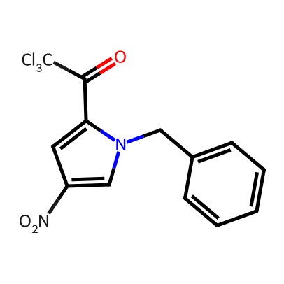 O=C(c1cc([N+](=O)[O-])cn1Cc1ccccc1)C(Cl)(Cl)Cl